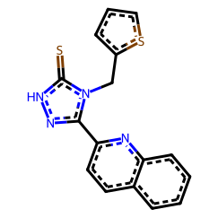 S=c1[nH]nc(-c2ccc3ccccc3n2)n1Cc1cccs1